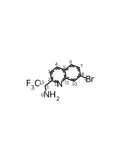 N[C@@H](c1ccc2ccc(Br)cc2n1)C(F)(F)F